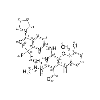 COc1c(Cl)cccc1Nc1cc(Nc2ccc(C(=O)N3CCCC3)c(C(F)(F)F)n2)nc(NN(C)C)c1C=O